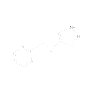 [c]1n[nH]cc1OCc1ncccn1